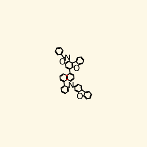 c1ccc(-c2nc3c(cc(-c4ccc(N(c5ccc6c(c5)oc5ccccc56)c5ccccc5-c5ccccc5)cc4)c4oc5ccccc5c43)o2)cc1